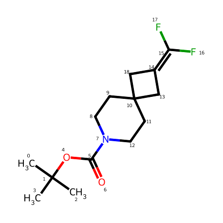 CC(C)(C)OC(=O)N1CCC2(CC1)CC(=C(F)F)C2